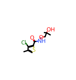 Cc1csc(C(=O)NOCC(C)(C)O)c1Cl